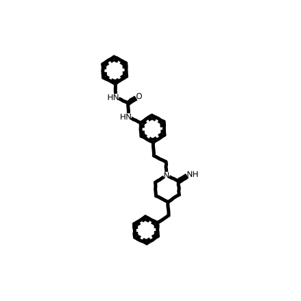 N=C1CC(Cc2ccccc2)CCN1CCc1cccc(NC(=O)Nc2ccccc2)c1